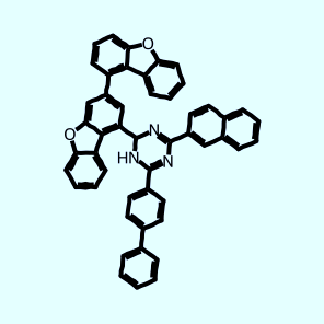 c1ccc(-c2ccc(C3=NC(c4ccc5ccccc5c4)=NC(c4cc(-c5cccc6oc7ccccc7c56)cc5oc6ccccc6c45)N3)cc2)cc1